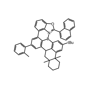 Cc1ccccc1-c1cc2c3c(c1)C1CC4(C)CCCCC4(C)c4cc(C(C)(C)C)cc(c41)B3[n+]1c(-c3cccc4ccccc34)oc3cccc-2c31